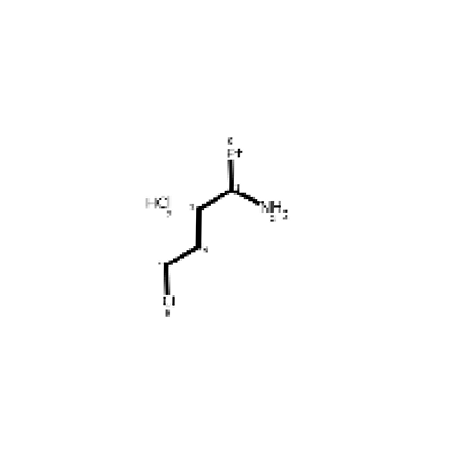 CCC(N)CCCCl.Cl